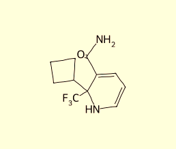 NC(=O)C1=CC=CNC1(C1CCC1)C(F)(F)F